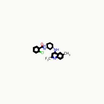 Cc1ccc2nc(C(F)(F)F)cc(N[C@H]3CCC[C@@H](NC(=O)c4ccccc4Cl)C3)c2c1